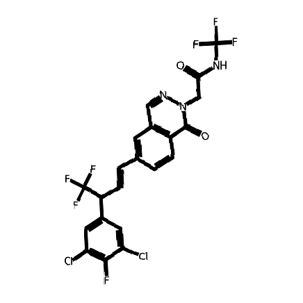 O=C(Cn1ncc2cc(/C=C/C(c3cc(Cl)c(F)c(Cl)c3)C(F)(F)F)ccc2c1=O)NC(F)(F)F